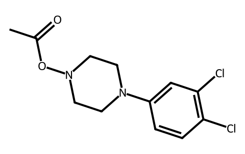 CC(=O)ON1CCN(c2ccc(Cl)c(Cl)c2)CC1